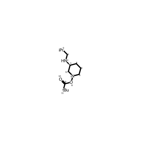 CC(C)CN[C@H]1CCCN(OC(=O)C(C)(C)C)C1